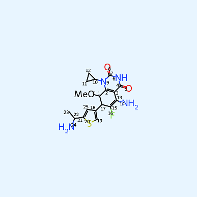 COC1c2c(c(=O)[nH]c(=O)n2C2CC2)C(N)=C(F)C1c1csc(C(C)N)c1